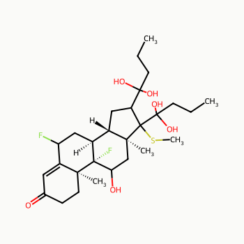 CCCC(O)(O)C1C[C@H]2[C@@H]3CC(F)C4=CC(=O)CC[C@]4(C)[C@]3(F)C(O)C[C@]2(C)C1(SC)C(O)(O)CCC